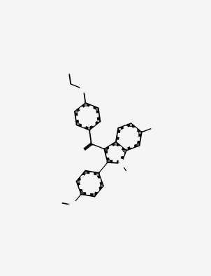 CCOc1ccc(C(=O)c2c(-c3ccc(OC)cc3)[s+]([O-])c3cc(O)ccc23)cc1